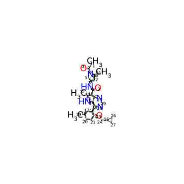 CCC(=O)N1C[C@H](NC(=O)c2c(C)[nH]c3c(-c4cc(C)ccc4OCC4CC4)ncnc23)C[C@H]1C